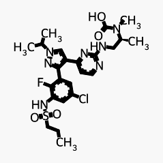 CCCS(=O)(=O)Nc1cc(Cl)cc(-c2nn(C(C)C)cc2-c2ccnc(NC[C@H](C)N(C)C(=O)O)n2)c1F